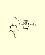 CC12CCC([C@@H](O)c3cccc(F)c3)(CC1)N2.Cl